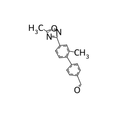 Cc1nc(-c2ccc(-c3ccc(C=O)cc3)c(C)c2)no1